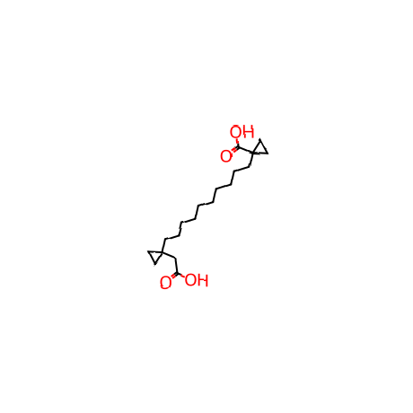 O=C(O)CC1(CCCCCCCCCCC2(C(=O)O)CC2)CC1